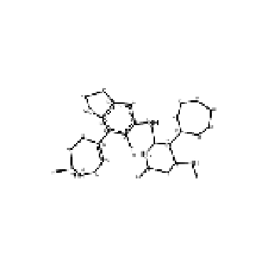 CNC1CC(C)NC(Nc2cc3c(c(C4=CCN[C@@H](C)CC4)c2F)OCC3)N1C1CCCCCC1